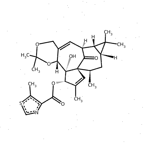 CC1=C[C@]23C(=O)[C@@H](C=C4COC(C)(C)O[C@H]4[C@]2(O)[C@H]1OC(=O)c1ncsc1C)[C@H]1[C@@H](C[C@H]3C)C1(C)C